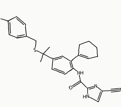 COc1ccc(CSC(C)(C)c2ccc(NC(=O)c3nc(C#N)c[nH]3)c(C3=CCCCC3)c2)cc1